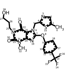 Cc1cnc(Cn2c(Oc3ccc(C(F)(F)F)cc3)nc3c2c(=O)n(CCCO)c(=O)n3C)s1